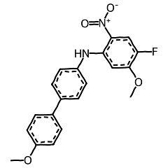 COc1ccc(-c2ccc(Nc3cc(OC)c(F)cc3[N+](=O)[O-])cc2)cc1